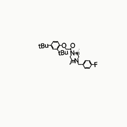 C[C@@H]1CN(Cc2ccc(F)cc2)[C@@H](C)CN1C(=O)COc1ccc(C(C)(C)C)cc1C(C)(C)C